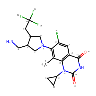 Cc1c(N2CC(CN)C(CC(F)(F)F)C2)c(F)cc2c(=O)[nH]c(=O)n(C3CC3)c12